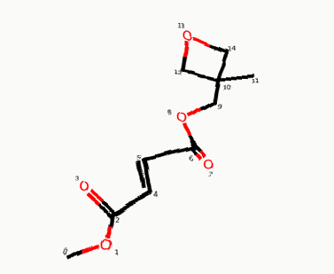 COC(=O)/C=C/C(=O)OCC1(C)COC1